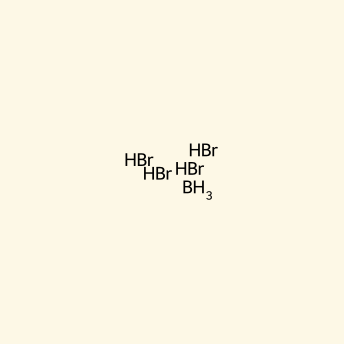 B.Br.Br.Br.Br